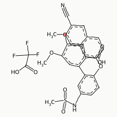 COc1cc(C(=O)O)c(-c2cc(NS(C)(=O)=O)ccc2Oc2ccc3cc(C#N)ccc3c2)cc1OC.O=C(O)C(F)(F)F